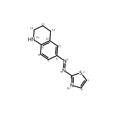 c1csc(/N=N/c2ccc3c(c2)CCCN3)n1